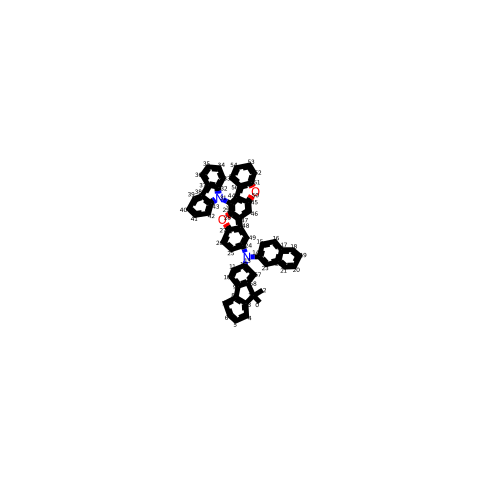 CC1(C)c2ccccc2-c2ccc(N(c3ccc4ccccc4c3)c3ccc4oc5c(-n6c7ccccc7c7ccccc76)c6c(cc5c4c3)oc3ccccc36)cc21